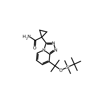 CC(C)(O[Si](C)(C)C(C)(C)C)c1cccn2c(C3(C(N)=O)CC3)nnc12